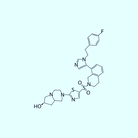 O=S(=O)(c1cnc(N2CCN3C[C@H](O)CC3C2)s1)N1CCc2cccc(-c3cncn3CCc3ccc(F)cc3)c2C1